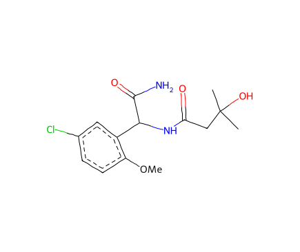 COc1ccc(Cl)cc1C(NC(=O)CC(C)(C)O)C(N)=O